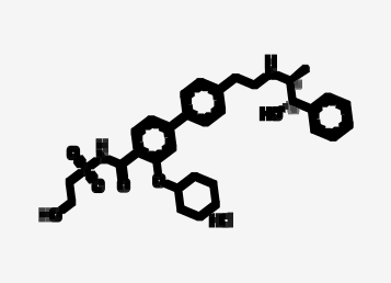 C[C@H](NCCc1ccc(-c2ccc(C(=O)NS(=O)(=O)CCO)c(OC3CCCCC3)c2)cc1)[C@@H](O)c1ccccc1.Cl